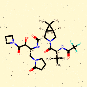 CC(C)(C)[C@H](NC(=O)C(F)(F)F)C(=O)N1C[C@H]2[C@@H]([C@H]1C(=O)N[C@@H](CN1CCCC1=O)C(O)C(=O)N1CCC1)C2(C)C